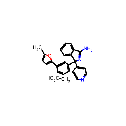 CC(=O)O.Cc1ccc(-c2cccc(C3(c4ccncc4)N=C(N)c4ccccc43)c2)o1